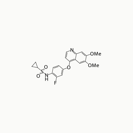 COc1cc2nccc(Oc3ccc(NS(=O)(=O)C4CC4)c(F)c3)c2cc1OC